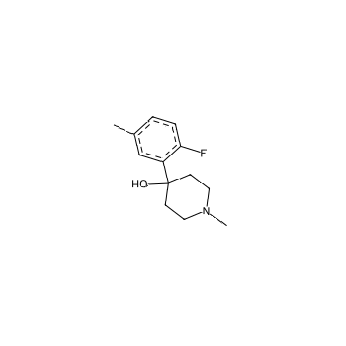 Cc1ccc(F)c(C2(O)CCN(C)CC2)c1